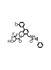 COc1cccc(-c2ccc(CNC(=O)[C@H]3C[C@@H]3c3ccccc3)c3c2CCN(C(=O)C(CO)C(F)(F)F)C3)c1